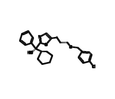 O[C@](c1ccccc1)(c1ncc([CH]CCOCc2ccc(Cl)cc2)o1)C1CCCCC1